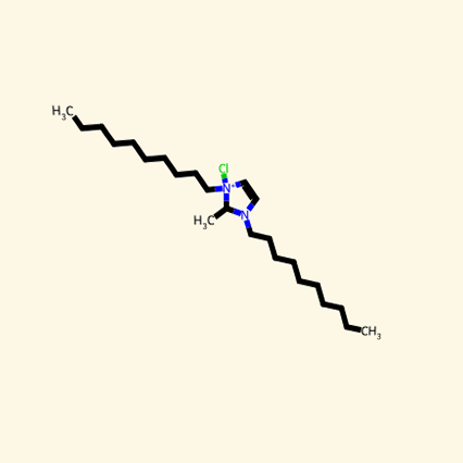 CCCCCCCCCCN1C=C[N+](Cl)(CCCCCCCCCC)C1C